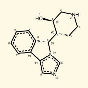 O[C@H]1CNCC[C@@H]1[C@H]1c2ccccc2-c2cncn21